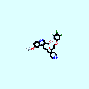 COc1ccc2ncc(CO)c(CCCC3(C(O)CCOc4cc(F)c(F)c(F)c4)CCNCC3)c2c1